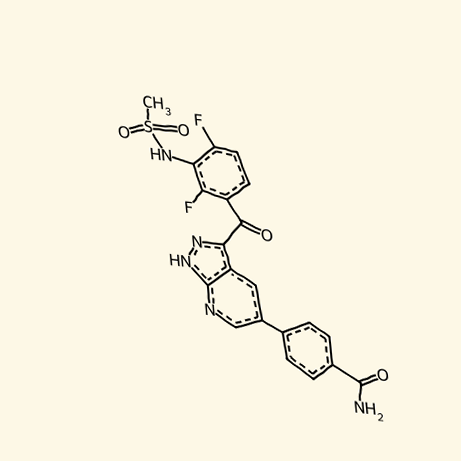 CS(=O)(=O)Nc1c(F)ccc(C(=O)c2n[nH]c3ncc(-c4ccc(C(N)=O)cc4)cc23)c1F